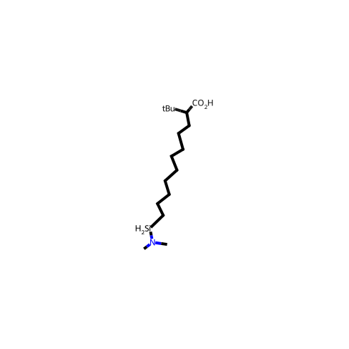 CN(C)[SiH2]CCCCCCCCCC(C(=O)O)C(C)(C)C